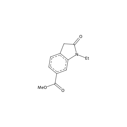 CCN1C(=O)Cc2ccc(C(=O)OC)cc21